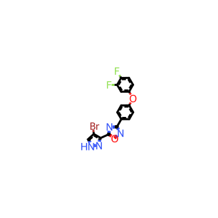 Fc1ccc(Oc2ccc(-c3noc(-c4n[nH]cc4Br)n3)cc2)cc1F